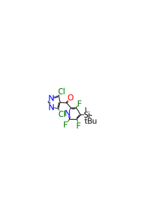 CC(C)(C)[Si](C)(C)c1c(F)c(F)nc(C(=O)c2c(Cl)ncnc2Cl)c1F